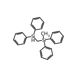 C[Si](C[SiH](c1ccccc1)c1ccccc1)(c1ccccc1)c1ccccc1